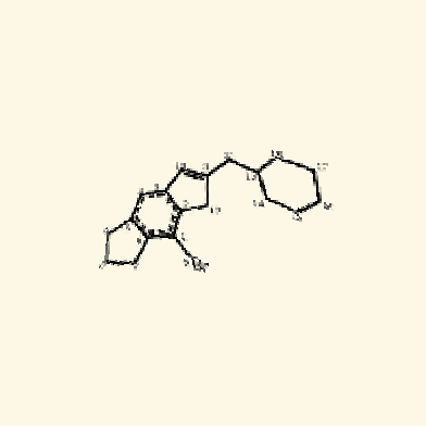 Brc1c2c(cc3c1CCC3)C=C(CC1CCCCC1)C2